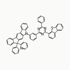 c1ccc(-c2nc(-c3cccc(-n4c5ccccc5c5cc6c(cc54)C(c4ccccc4)(c4ccccn4)c4ccccc4-6)c3)nc(-c3cccc4c3sc3ccccc34)n2)cc1